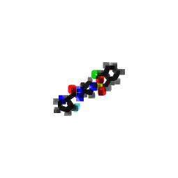 O=C(Nc1ccn(S(=O)(=O)Cc2ccccc2Cl)c1)c1ncccc1F